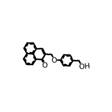 O=C1C(COc2ccc(CO)cc2)=Cc2cccc3cccc1c23